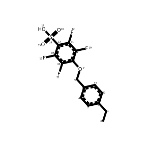 CCc1ccc(COc2c(F)c(F)c(S(=O)(=O)O)c(F)c2F)cc1